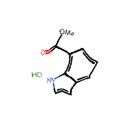 COC(=O)c1cccc2cc[nH]c12.Cl